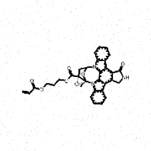 C=CC(=O)OCCCOC(=O)[C@@]1(O)CC2O[C@]1(C)n1c3ccccc3c3c4c(c5c6ccccc6n2c5c31)C(=O)NC4